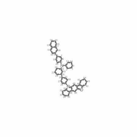 c1ccc(N(c2ccc(-c3ccc4ccccc4c3)cc2)c2cccc(-c3ccc(-n4c5ccccc5c5cc6oc7ccccc7c6cc54)cc3)c2)cc1